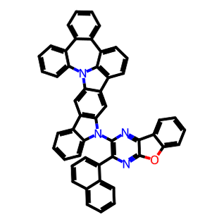 c1ccc2c(c1)-c1ccccc1-n1c3cc4c5ccccc5n(-c5nc6c(nc5-c5cccc7ccccc57)oc5ccccc56)c4cc3c3cccc-2c31